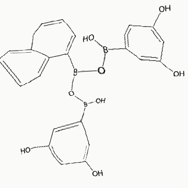 OB(OB(OB(O)c1cc(O)cc(O)c1)c1cccc2ccccc12)c1cc(O)cc(O)c1